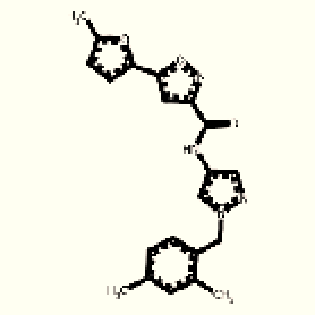 Cc1ccc(Cn2cc(NC(=O)c3cc(-c4ccc(C)o4)on3)cn2)c(C)c1